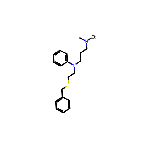 CCN(C)CCCN(CCSCc1ccccc1)c1ccccc1